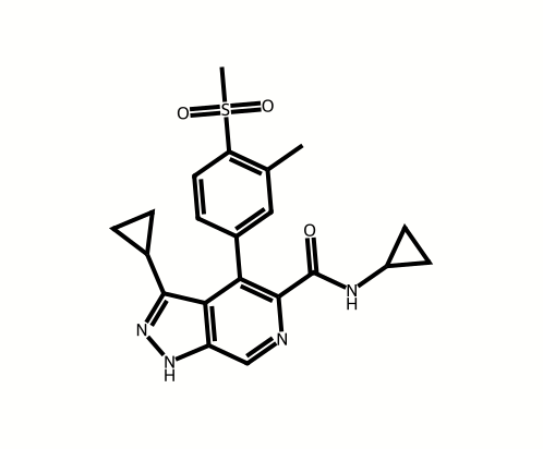 Cc1cc(-c2c(C(=O)NC3CC3)ncc3[nH]nc(C4CC4)c23)ccc1S(C)(=O)=O